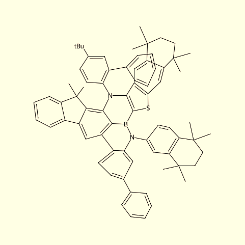 CC(C)(C)c1ccc(N2c3c4c(cc5c3C(C)(C)c3ccccc3-5)-c3ccc(-c5ccccc5)cc3N(c3ccc5c(c3)C(C)(C)CCC5(C)C)B4c3sc4cc5c(cc4c32)C(C)(C)CCC5(C)C)c(-c2ccccc2)c1